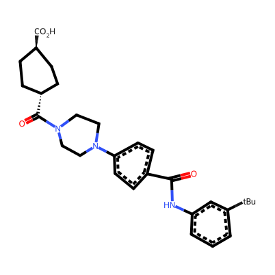 CC(C)(C)c1cccc(NC(=O)c2ccc(N3CCN(C(=O)[C@H]4CC[C@H](C(=O)O)CC4)CC3)cc2)c1